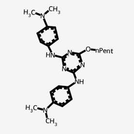 CCCCCOc1nc(Nc2ccc(N(C)C)cc2)nc(Nc2ccc(N(C)C)cc2)n1